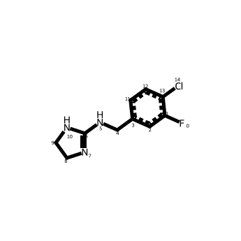 Fc1cc(CNC2=NCCN2)ccc1Cl